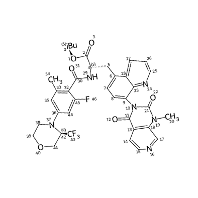 CC[C@H](C)OC(=O)[C@H](Cc1ccc(-n2c(=O)c3ccncc3n(C)c2=O)c2ncccc12)NC(=O)c1c(C)cc(N2CCOC[C@@H]2C(F)(F)F)cc1F